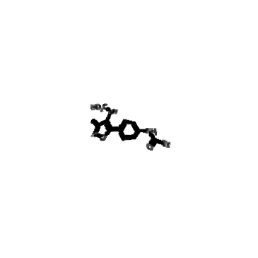 CCC(=O)Nc1ccc(-c2onc(C)c2NC(=O)O)cc1